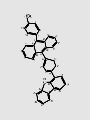 CC(C)(C)c1ccc(-c2c3ccccc3c(C3=CC=C(c4cccc5c4oc4ccccc45)CC3)c3ccccc23)cc1